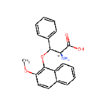 COc1ccc2ccccc2c1OC(c1ccccc1)[C@H](N)C(=O)O